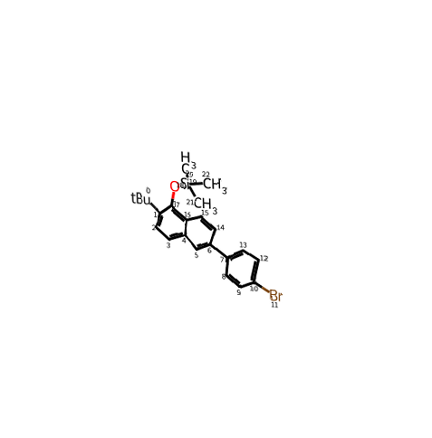 CC(C)(C)c1ccc2cc(-c3ccc(Br)cc3)ccc2c1O[Si](C)(C)C